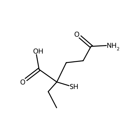 CCC(S)(CCC(N)=O)C(=O)O